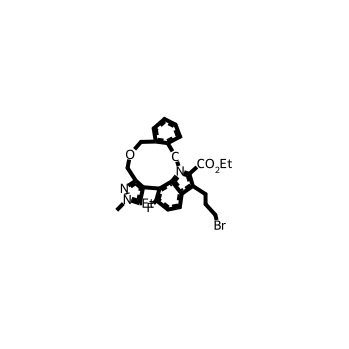 CCOC(=O)c1c(CCCBr)c2ccc(F)c3c2n1Cc1ccccc1COCc1nn(C)c(CC)c1-3